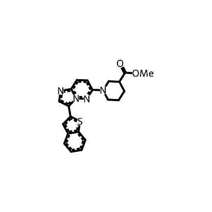 COC(=O)C1CCCN(c2ccc3ncc(-c4cc5ccccc5s4)n3n2)C1